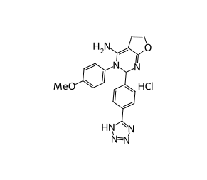 COc1ccc(N2C(N)=c3ccoc3=NC2c2ccc(-c3nnn[nH]3)cc2)cc1.Cl